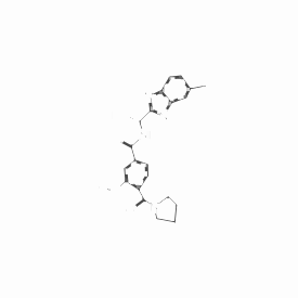 COc1cc(C(=O)N[C@@H](C)c2nc3cc(Cl)ccc3[nH]2)ccc1C(=O)N1CCCC1